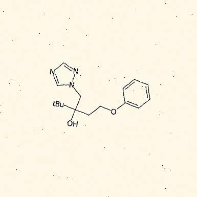 CC(C)(C)C(O)(CCOc1ccccc1)Cn1cncn1